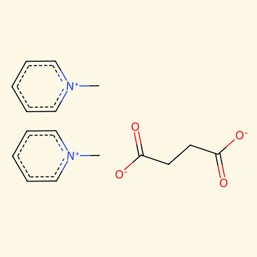 C[n+]1ccccc1.C[n+]1ccccc1.O=C([O-])CCC(=O)[O-]